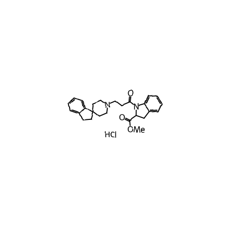 COC(=O)C1Cc2ccccc2N1C(=O)CCN1CCC2(CCc3ccccc32)CC1.Cl